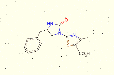 Cc1nc(N2CC(Cc3ccccc3)NC2=O)sc1C(=O)O